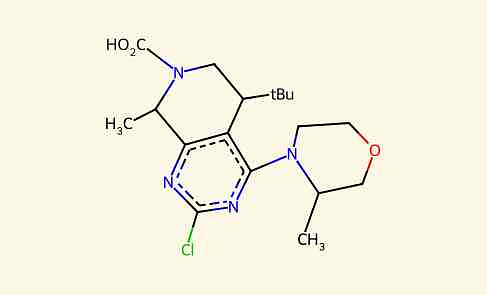 CC1c2nc(Cl)nc(N3CCOCC3C)c2C(C(C)(C)C)CN1C(=O)O